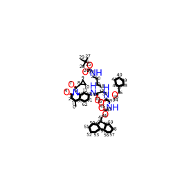 Cc1cc(=O)n(C(=O)C2CC2)c2cc(NC(=O)[C@H](CCCCNC(=O)OC(C)(C)C)NC(=O)[C@H](COCc3ccccc3)NC(=O)OCC3c4ccccc4-c4ccccc43)ccc12